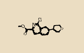 COC(=O)c1cc2ccc(C3=CCOCC3)cc2c(Cl)n1